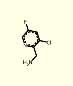 NCc1ncc(F)cc1Cl